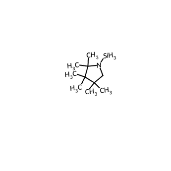 CC1(C)CN([SiH3])C(C)(C)C1(C)C